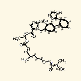 CCCCc1ncc(C(=O)OC(C)OC(=O)OCC(C)CCCO/N=[N+](\[O-])N(C)C(C)(C)C)n1Cc1ccc(-c2ccccc2-c2nnn[nH]2)cc1